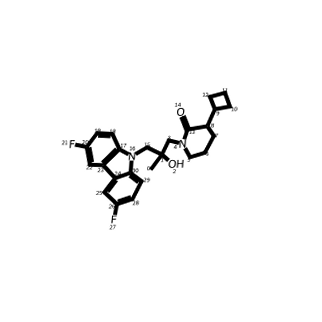 CC(O)(CN1CCCC(C2CCC2)C1=O)Cn1c2ccc(F)cc2c2cc(F)ccc21